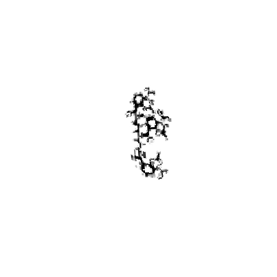 [CH2]N(CCCN(CCCNC(=O)c1cccc(OC(C)=O)c1OC(C)=O)C(=O)c1cccc(OC(C)=O)c1OC(C)=O)C(=O)c1cccc(OC(C)=O)c1OC(C)=O